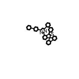 c1ccc(-c2ccc(-c3cc(-c4ccccc4)nc(-c4cccc5c4-c4c(sc6ccccc46)C54c5ccccc5-c5ccccc54)n3)cc2)cc1